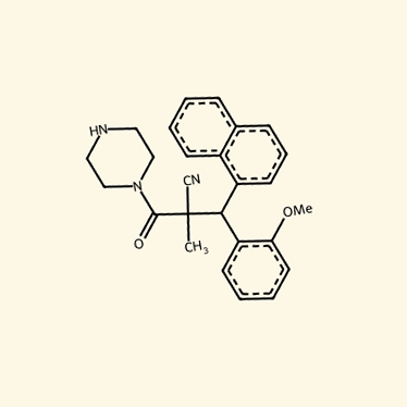 COc1ccccc1C(c1cccc2ccccc12)C(C)(C#N)C(=O)N1CCNCC1